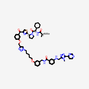 CN[C@@H](C)C(=O)N[C@H](C(=O)N1CCC[C@H]1c1nc(C(=O)c2cccc(OCc3cn(CCCCCOc4cccc(CNC(=O)c5cccc(NCc6nnc(-c7ccncn7)n6C)c5)c4)nn3)c2)cs1)C1CCCCC1